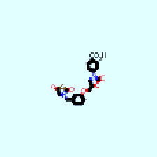 O=C1CN(Cc2cccc(OCC3CN(c4ccc(C(=O)O)cc4)C(=O)O3)c2)C(=O)S1